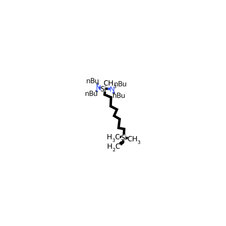 C=C[Si](C)(C)CCCCCCCC[Si](C)(N(CCCC)CCCC)N(CCCC)CCCC